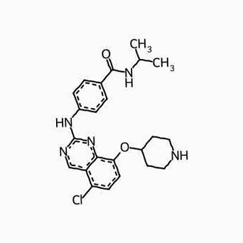 CC(C)NC(=O)c1ccc(Nc2ncc3c(Cl)ccc(OC4CCNCC4)c3n2)cc1